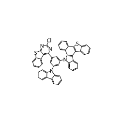 Clc1nc(-c2cc(-n3c4ccccc4c4ccccc43)cc(-n3c4ccccc4c4c5c6ccccc6sc5c5ccccc5c43)c2)c2c(n1)sc1ccccc12